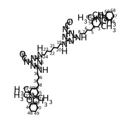 CC1(C)CC(CCCCNc2nc(N=C=O)nc(NCCCCCCNc3nc(N=C=O)nc(NCCCCC4CC(C)(C)N(OC5CCCCC5)C(C)(C)C4)n3)n2)CC(C)(C)N1OC1CCCCC1